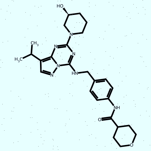 CC(C)c1cnn2c(NCc3ccc(NC(=O)C4CCOCC4)cc3)nc(N3CCC[C@H](O)C3)nc12